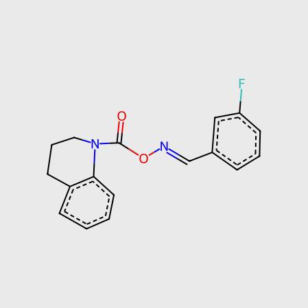 O=C(ON=Cc1cccc(F)c1)N1CCCc2ccccc21